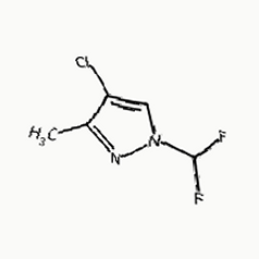 Cc1nn(C(F)F)cc1Cl